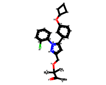 COC(=O)C(C)(C)OCc1cc(-c2cccc(OC3CCC3)c2)n(-c2ccccc2Cl)n1